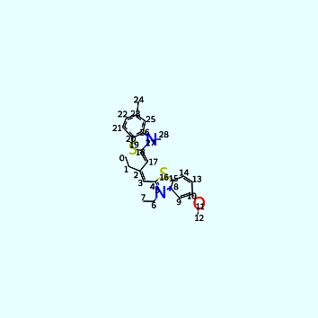 CCC(=CC1=[N+](CC)C2C=C(OC)C=CC2S1)C=C1Sc2ccc(C)cc2N1C